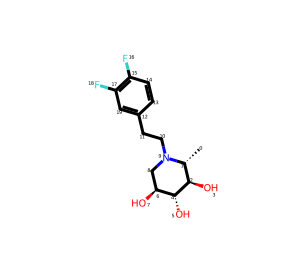 C[C@@H]1[C@@H](O)[C@H](O)[C@@H](O)CN1CCc1ccc(F)c(F)c1